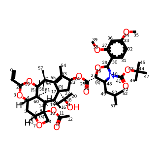 C=CC1O[C@H]2C[C@H]3OC[C@@]3(OC(C)=O)[C@H]3[C@H](C)[C@]4(C(C)(C)O)CC(OC(=O)[C@@H]5OC(c6ccc(OC)cc6OC)N(C(=O)OC(C)(C)C)C5CC(C)C)C(C)=C4[C@H](C)[C@H](O1)[C@]23C